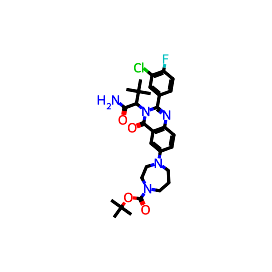 CC(C)(C)OC(=O)N1CCCN(c2ccc3nc(-c4ccc(F)c(Cl)c4)n(C(C(N)=O)C(C)(C)C)c(=O)c3c2)CC1